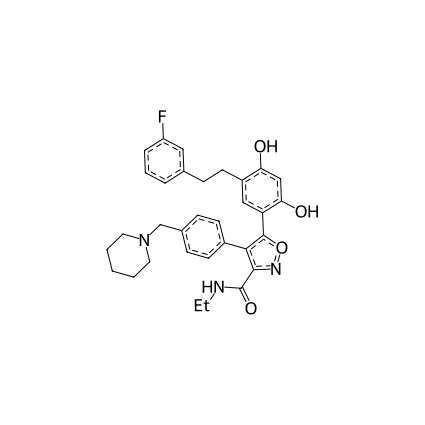 CCNC(=O)c1noc(-c2cc(CCc3cccc(F)c3)c(O)cc2O)c1-c1ccc(CN2CCCCC2)cc1